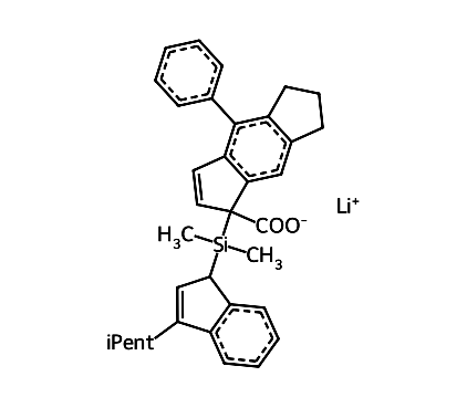 CCCC(C)C1=CC([Si](C)(C)C2(C(=O)[O-])C=Cc3c2cc2c(c3-c3ccccc3)CCC2)c2ccccc21.[Li+]